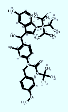 COc1ccc(CN(C(=O)OC(C)(C)C)c2ccc(C(O)c3cn(S(C(C)C)(C(C)C)C(C)C)c4ncc(C)cc34)c(F)n2)cc1